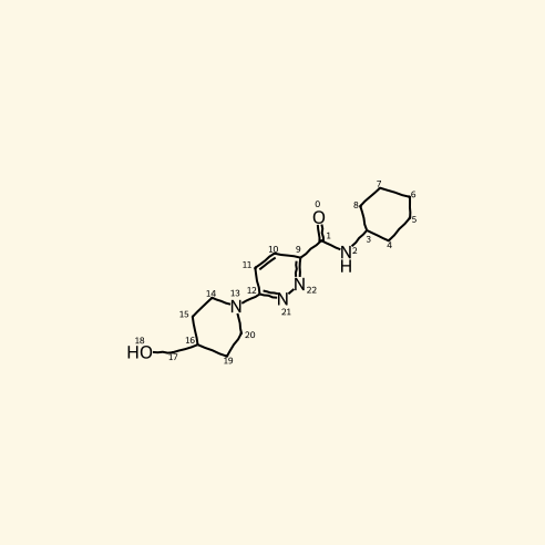 O=C(NC1CCCCC1)c1ccc(N2CCC(CO)CC2)nn1